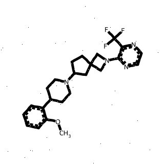 COc1ccccc1C1CCN(C2CCC3(C2)CN(c2nccnc2C(F)(F)F)C3)CC1